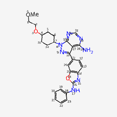 COCCOC1CCC(n2nc(-c3ccc4nc(Nc5ccccc5)oc4c3)c3c(N)ncnc32)CC1